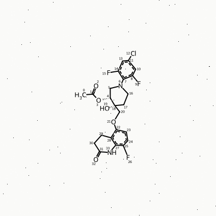 CC(=O)O[C@@H]1CN(c2c(F)cc(Cl)cc2F)CC[C@@]1(O)COc1ccc(F)c2c1CCC(=O)N2